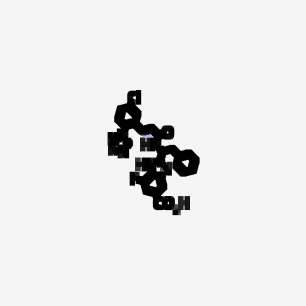 O=C(/C=C/c1cc(Cl)ccc1-n1cnnn1)NC(Cc1ccccc1)c1nc2cc(C(=O)O)cc(F)c2[nH]1